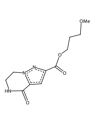 COCCCOC(=O)c1cc2n(n1)CCNC2=O